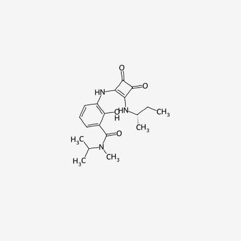 CC[C@H](C)Nc1c(Nc2cccc(C(=O)N(C)C(C)C)c2O)c(=O)c1=O